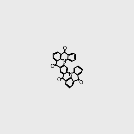 O=c1c2ccccc2n2c3cc4c(cc3c(=O)c3cccc1c32)c(=O)c1cccc2c(=O)c3ccccc3n4c21